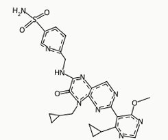 COc1ncnc(C2CC2)c1-c1ncc2nc(NCc3ccc(S(N)(=O)=O)cn3)c(=O)n(CC3CC3)c2n1